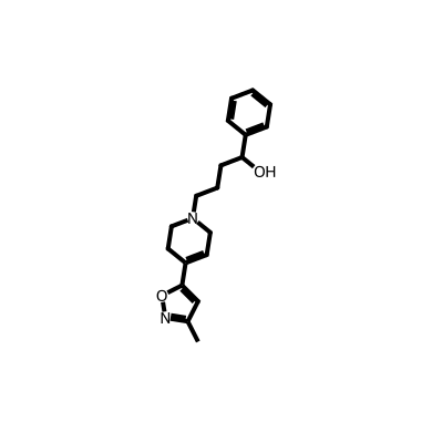 Cc1cc(C2=CCN(CCCC(O)c3ccccc3)CC2)on1